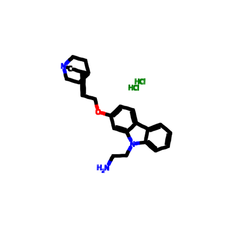 Cl.Cl.NCCn1c2ccccc2c2ccc(OCC=C3CN4CCC3CC4)cc21